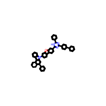 C1=Cc2c(c(-c3ccccc3)cc3c2c2ccccc2n3-c2ccc3c(c2)oc2cc(C4=NC(c5ccc(-c6ccccc6)cc5)=NC(c5ccccc5)N4)ccc23)CC1